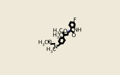 COCCN(C)Cc1ccc(C2=C/C(=C3\C(=O)Nc4cc(F)ccc43)OC2(C)C)cc1